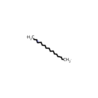 [CH2]C/C=C/CCCCCCCCCCCC[CH2]